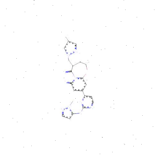 Cn1nccc1Nc1nccc(-c2cc3n(c(=N)c2)C(=N)C(Cn2cc(Cl)cn2)CCO3)n1